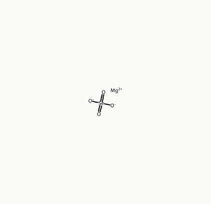 O=[Se](=O)([O-])[O-].[Mg+2]